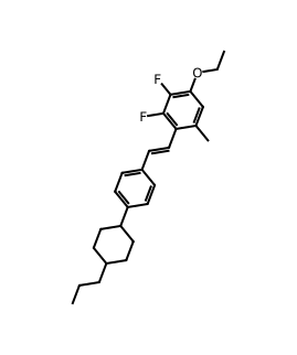 CCCC1CCC(c2ccc(/C=C/c3c(C)cc(OCC)c(F)c3F)cc2)CC1